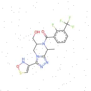 CC1c2nnc(C3=CSON3)n2CC(CO)N1C(=O)c1cccc(C(F)(F)F)c1F